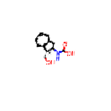 O=C(O)NC1Cc2ccccc2[C@H]1CO